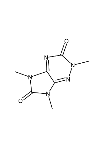 Cn1nc2c(nc1=O)n(C)c(=O)n2C